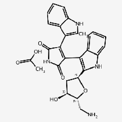 CC(=O)O.Cc1[nH]c2ccccc2c1C1=C(c2c([C@@H]3C[C@H](O)[C@@H](CN)O3)[nH]c3ccccc23)C(=O)NC1=O